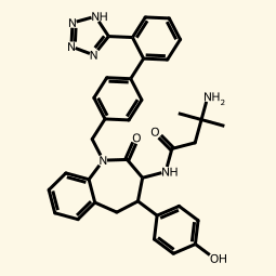 CC(C)(N)CC(=O)NC1C(=O)N(Cc2ccc(-c3ccccc3-c3nnn[nH]3)cc2)c2ccccc2CC1c1ccc(O)cc1